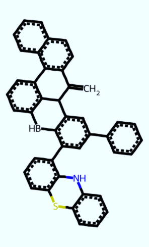 C=C1c2ccc3ccccc3c2-c2cccc3c2C1c1cc(-c2ccccc2)cc(-c2cccc4c2Nc2ccccc2S4)c1B3